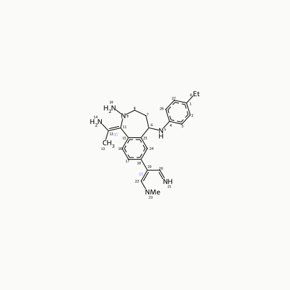 CCc1ccc(NC2CCN(N)/C(=C(/C)N)c3ccc(/C(C=N)=C/NC)cc32)cc1